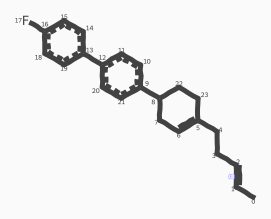 C/C=C/CCC1=CCC(c2ccc(-c3ccc(F)cc3)cc2)CC1